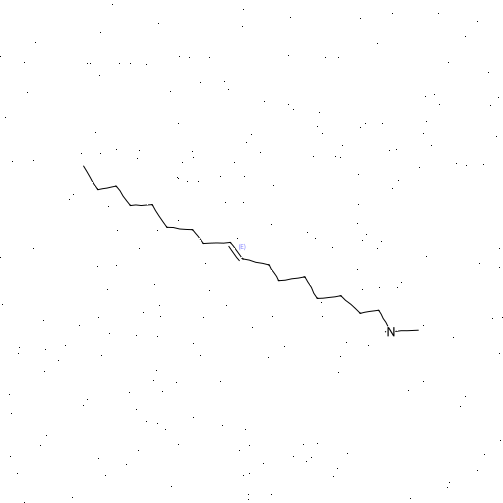 CCCCCCCC/C=C/CCCCCCC[N]C